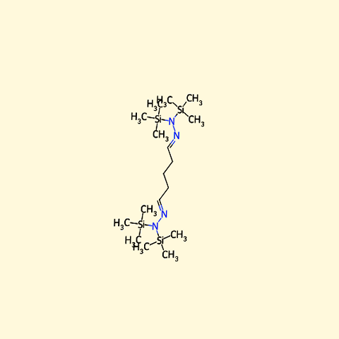 C[Si](C)(C)N(N=CCCCC=NN([Si](C)(C)C)[Si](C)(C)C)[Si](C)(C)C